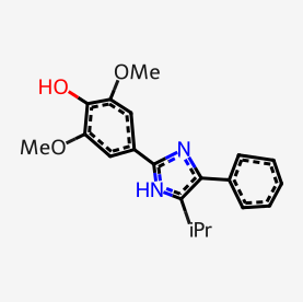 COc1cc(-c2nc(-c3ccccc3)c(C(C)C)[nH]2)cc(OC)c1O